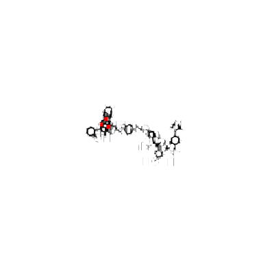 Cc1ncsc1-c1ccc([C@H](C)NC(=O)[C@@H]2C[C@@H](O)CN2C(=O)[C@@H](C(C)C)n2cc(OCCN3CCN(CCOc4cc(N5C6CCC5CN(c5cc(-c7ccccc7O)nnc5N)C6)ccn4)CC3)cn2)cc1